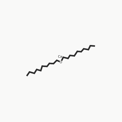 CCCCCCCCCCOCCCCCCCCCC.[Ca]